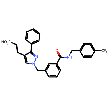 O=C(O)CCc1cn(Cc2cccc(C(=O)NCc3ccc(C(F)(F)F)cc3)c2)nc1-c1ccccc1